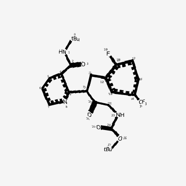 CC(C)(C)NC(=O)c1cccnc1C(Cc1cc(C(F)(F)F)ccc1F)C(=O)CNC(=O)OC(C)(C)C